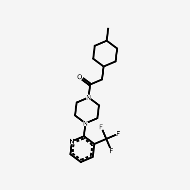 CC1CCC(CC(=O)N2CCN(c3ncccc3C(F)(F)F)CC2)CC1